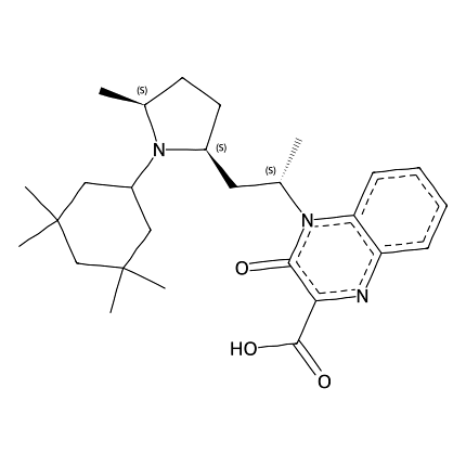 C[C@H]1CC[C@@H](C[C@H](C)n2c(=O)c(C(=O)O)nc3ccccc32)N1C1CC(C)(C)CC(C)(C)C1